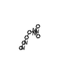 c1ccc(-c2nc(-c3ccccc3)nc(-c3cccc(-c4ccc(-c5ccc(-c6ccccn6)cn5)cc4)c3)n2)cc1